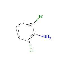 Nc1c(Cl)cccc1Br